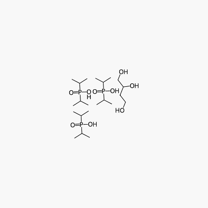 CC(C)P(=O)(O)C(C)C.CC(C)P(=O)(O)C(C)C.CC(C)P(=O)(O)C(C)C.OCCC(O)CO